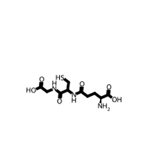 N[C@@H](CCC(=O)NC(CS)C(=O)NCC(=O)O)C(=O)O